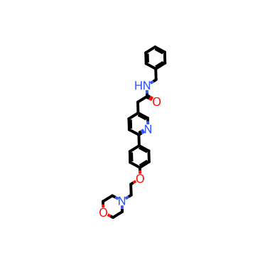 O=C(Cc1ccc(-c2ccc(OCCN3CCOCC3)cc2)nc1)NCc1ccccc1